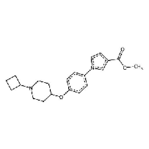 COC(=O)c1ccn(-c2ccc(OC3CCN(C4CCC4)CC3)cc2)c1